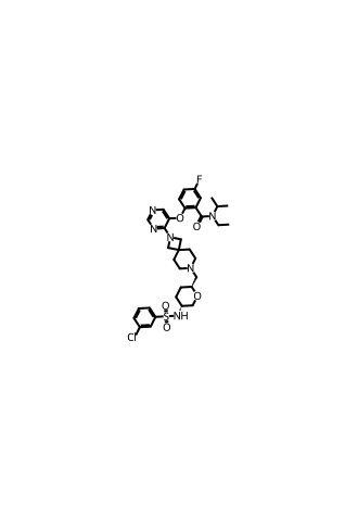 CCN(C(=O)c1cc(F)ccc1Oc1cncnc1N1CC2(CCN(C[C@@H]3CC[C@@H](NS(=O)(=O)c4cccc(Cl)c4)CO3)CC2)C1)C(C)C